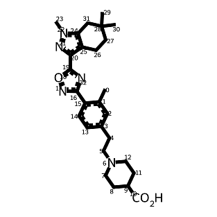 Cc1cc(CCN2CCC(C(=O)O)CC2)ccc1-c1noc(-c2nn(C)c3c2CCC(C)(C)C3)n1